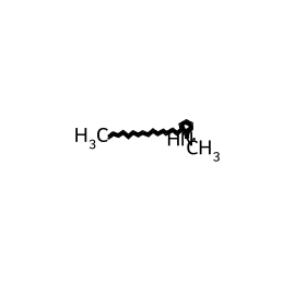 CCCCCCCCCCCCCCCCc1ccccc1NCC